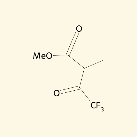 COC(=O)C(C)C(=O)C(F)(F)F